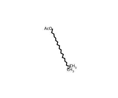 CC(=O)OCCCCCCCCCCCCCCCCCCN(C)C